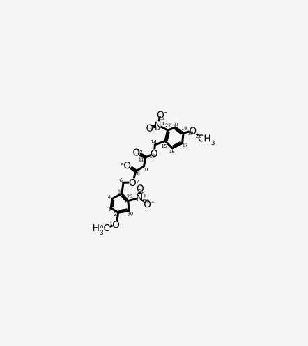 COc1ccc(COC(=O)CC(=O)OCc2ccc(OC)cc2[N+](=O)[O-])c([N+](=O)[O-])c1